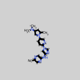 CC1CC(N(C)C)CN1c1ccc(-n2cnc(Nc3cnc(C#N)cn3)c2)nc1